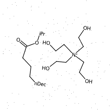 CCCCCCCCCCCCCC(=O)OC(C)C.OCC[N+](CCO)(CCO)CCO